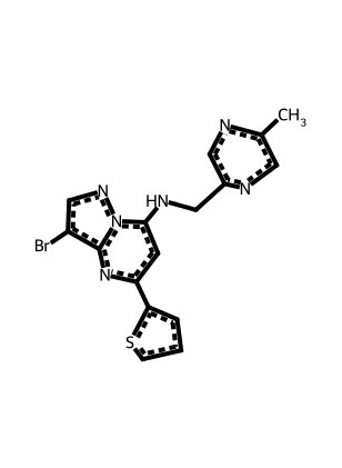 Cc1cnc(CNc2cc(-c3cccs3)nc3c(Br)cnn23)cn1